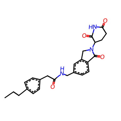 CCCc1ccc(CC(=O)NCc2ccc3c(c2)CN(C2CCC(=O)NC2=O)C3=O)cc1